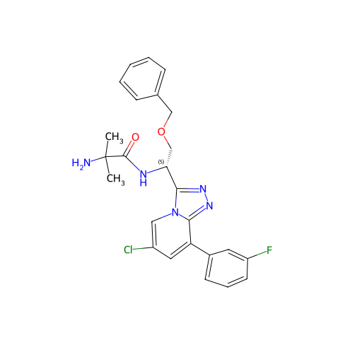 CC(C)(N)C(=O)N[C@H](COCc1ccccc1)c1nnc2c(-c3cccc(F)c3)cc(Cl)cn12